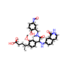 COc1cc(C(Nc2ccc3cc[nH]c(=O)c3c2)C(=O)N(C)Cc2cc(N=O)ccc2O)ccc1[C@@H](C)CCC(=O)O